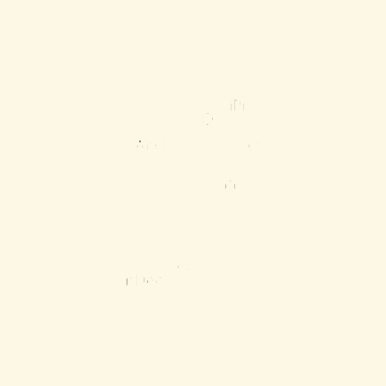 CCCCCCCCCCOc1ccc2c(OC(C)=O)c(OC(C)C)c(=O)oc2c1